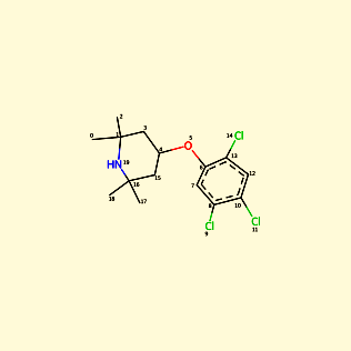 CC1(C)CC(Oc2cc(Cl)c(Cl)cc2Cl)CC(C)(C)N1